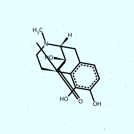 CN1CC[C@]23CC(=O)CC[C@@]2(O)[C@H]1Cc1ccc(O)c(O)c13